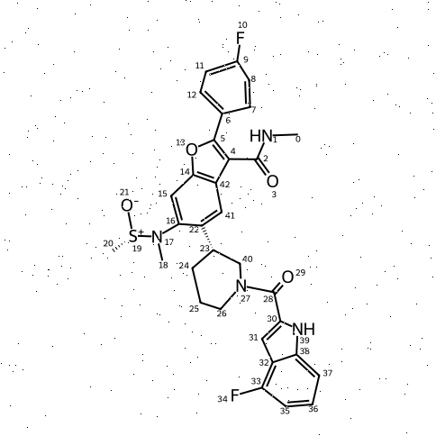 CNC(=O)c1c(-c2ccc(F)cc2)oc2cc(N(C)[S@+](C)[O-])c([C@H]3CCCN(C(=O)c4cc5c(F)cccc5[nH]4)C3)cc12